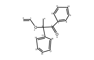 C=COC(C)(C(=O)c1ccccc1)c1ccccc1